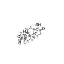 C[C@]12CCC(=O)C(S)=C1CC[C@@H]1[C@@H]2CC[C@]2(C)C(=O)OC[C@@H]12